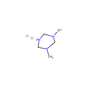 CN1CNC[N]([Ti+2])C1.[Cl-].[Cl-]